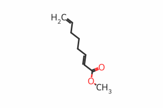 C=CCCC/C=C/C(=O)OC